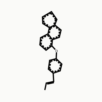 CC=Cc1ccc(Oc2cccc3c2ccc2ccccc23)cc1